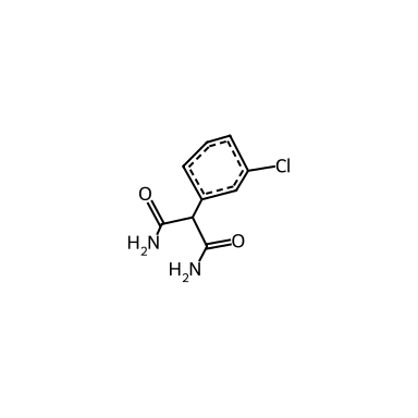 NC(=O)C(C(N)=O)c1cccc(Cl)c1